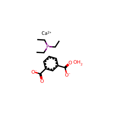 CCP(CC)CC.O.O=C([O-])c1cccc(C(=O)[O-])c1.[Ca+2]